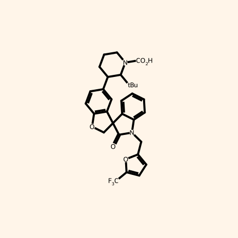 CC(C)(C)C1C(c2ccc3c(c2)C2(CO3)C(=O)N(Cc3ccc(C(F)(F)F)o3)c3ccccc32)CCCN1C(=O)O